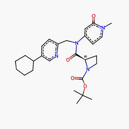 Cn1ccc(N(Cc2ccc(C3CCCCC3)cn2)C(=O)[C@H]2CCN2C(=O)OC(C)(C)C)cc1=O